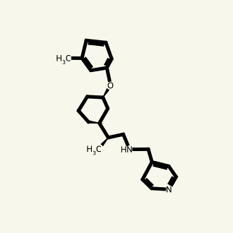 Cc1cccc(O[C@@H]2CCC[C@H]([C@H](C)CNCc3ccncc3)C2)c1